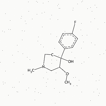 COC1CN(C)CCC1(O)c1ccc(F)cc1